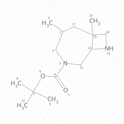 CC1CN(C(=O)OC(C)(C)C)CC2NCC2(C)C1